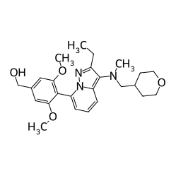 CCc1nn2c(-c3c(OC)cc(CO)cc3OC)cccc2c1N(C)CC1CCOCC1